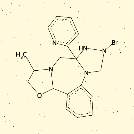 CC1COC2c3ccccc3N3CN(Br)NC3(c3ccccn3)CN12